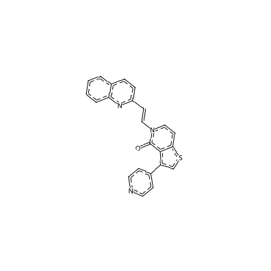 O=c1c2c(-c3ccncc3)csc2ccn1C=Cc1ccc2ccccc2n1